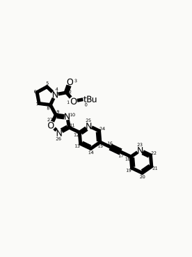 CC(C)(C)OC(=O)N1CCCC1c1nc(-c2ccc(C#Cc3ccccn3)cn2)no1